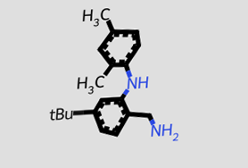 Cc1ccc(Nc2cc(C(C)(C)C)ccc2CN)c(C)c1